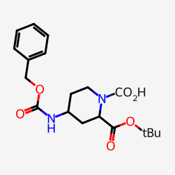 CC(C)(C)OC(=O)C1CC(NC(=O)OCc2ccccc2)CCN1C(=O)O